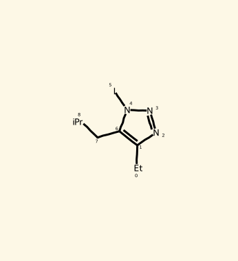 CCc1nnn(I)c1CC(C)C